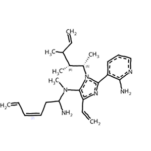 C=C/C=C\CC(N)N(C)c1c(C=C)nc(-c2cccnc2N)n1[C@@H](C)[C@H](C)C(C)C=C